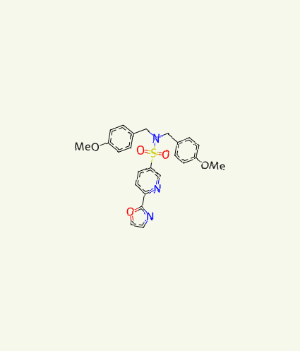 COc1ccc(CN(Cc2ccc(OC)cc2)S(=O)(=O)c2ccc(-c3ncco3)nc2)cc1